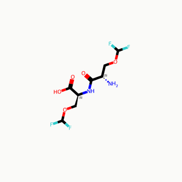 N[C@@H](COC(F)F)C(=O)N[C@@H](COC(F)F)C(=O)O